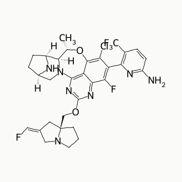 C[C@@H]1Oc2c(Cl)c(-c3nc(N)ccc3C(F)(F)F)c(F)c3nc(OC[C@@]45CCCN4C/C(=C\F)C5)nc(c23)N2C[C@H]3CC[C@H](N3)[C@@H]12